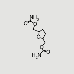 NC(=O)OCC1CCC(COC(N)=O)O1